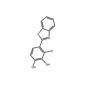 Oc1ccc(-c2nc3ccccc3s2)c(Cl)c1O